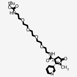 CN1C(=O)C[C@H](C(=O)NCCOCCOCCOCCOCCNC(=O)OC(C)(C)C)[C@H]1c1cccnc1